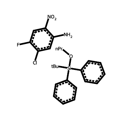 CCCO[Si](c1ccccc1)(c1ccccc1)C(C)(C)C.Nc1cc(Cl)c(F)cc1[N+](=O)[O-]